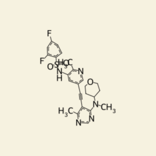 Cc1ncc(C#Cc2c(C)ncnc2N(C)C2CCOCC2)cc1NS(=O)(=O)c1ccc(F)cc1F